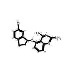 Nc1nc(N)c2c(OC3CCc4ccc(Cl)cc43)cccc2n1